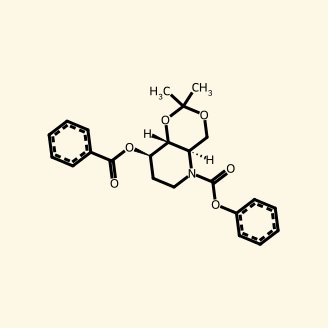 CC1(C)OC[C@@H]2[C@@H](O1)[C@H](OC(=O)c1ccccc1)CCN2C(=O)Oc1ccccc1